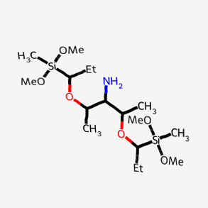 CCC(OC(C)C(N)C(C)OC(CC)[Si](C)(OC)OC)[Si](C)(OC)OC